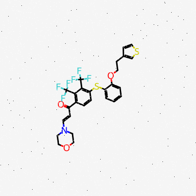 O=C(C=CN1CCOCC1)c1ccc(Sc2ccccc2OCCc2ccsc2)c(C(F)(F)F)c1C(F)(F)F